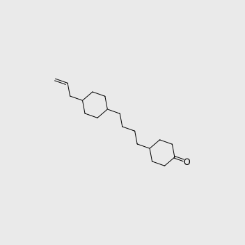 C=CCC1CCC(CCCCC2CCC(=O)CC2)CC1